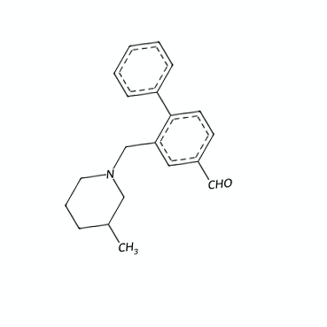 CC1CCCN(Cc2cc(C=O)ccc2-c2ccccc2)C1